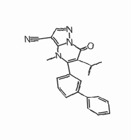 CC(C)c1c(-c2cccc(-c3ccccc3)c2)n(C)c2c(C#N)cnn2c1=O